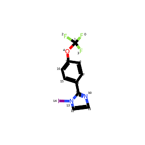 FC(F)(F)Oc1ccc(-c2nccn2I)cc1